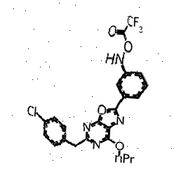 CCCOc1nc(Cc2ccc(Cl)cc2)nc2oc(-c3cccc(NOC(=O)C(F)(F)F)c3)nc12